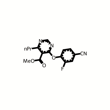 CCCc1ncnc(Oc2ccc(C#N)cc2F)c1C(=O)OC